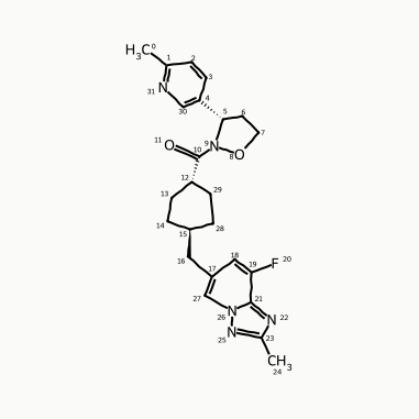 Cc1ccc([C@@H]2CCON2C(=O)[C@H]2CC[C@H](Cc3cc(F)c4nc(C)nn4c3)CC2)cn1